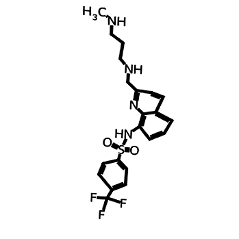 CNCCCNCc1ccc2cccc(NS(=O)(=O)c3ccc(C(F)(F)F)cc3)c2n1